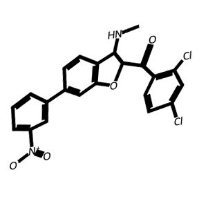 CNC1c2ccc(-c3cccc([N+](=O)[O-])c3)cc2OC1C(=O)c1ccc(Cl)cc1Cl